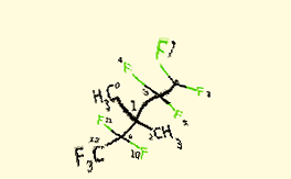 CC(C)(C(F)(F)C(F)F)C(F)(F)C(F)(F)F